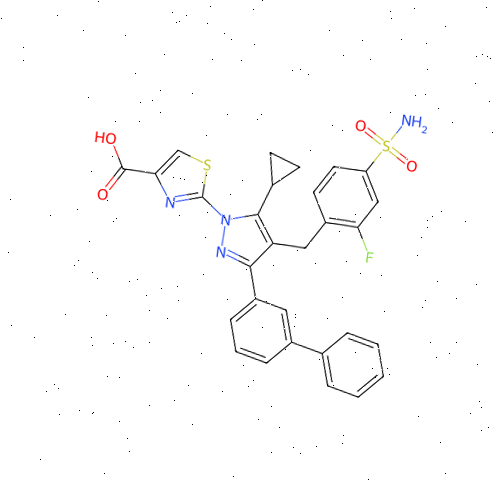 NS(=O)(=O)c1ccc(Cc2c(-c3cccc(-c4ccccc4)c3)nn(-c3nc(C(=O)O)cs3)c2C2CC2)c(F)c1